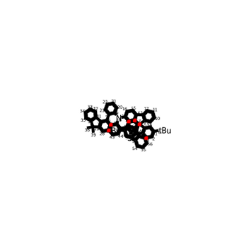 CC(C)(C)c1ccc2c(c1)C1(c3ccccc3-c3ccc(N(c4ccccc4-c4cccc5c4-c4ccccc4C5(C)C)c4ccccc4-c4cccc5c4sc4ccccc45)cc31)c1cc(C(C)(C)C)ccc1-2